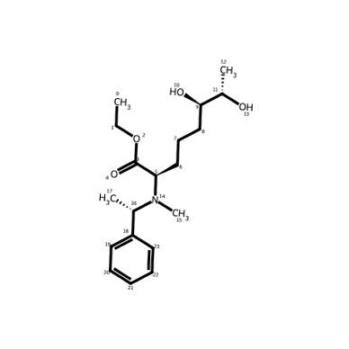 CCOC(=O)[C@@H](CCC[C@@H](O)[C@H](C)O)N(C)[C@@H](C)c1ccccc1